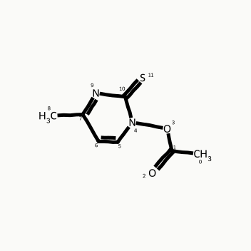 CC(=O)On1ccc(C)nc1=S